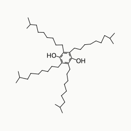 CC(C)CCCCCCCc1c(O)c(CCCCCCCC(C)C)c(CCCCCCCC(C)C)c(O)c1CCCCCCCC(C)C